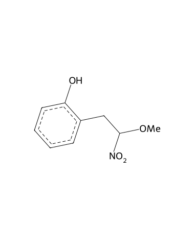 COC(Cc1ccccc1O)[N+](=O)[O-]